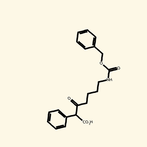 O=C(NCCCCC(=O)C(C(=O)O)c1ccccc1)OCc1ccccc1